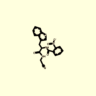 N#CCNC(=O)C(Cc1csc2ccccc12)NC(=O)c1ccccc1[N+](=O)[O-]